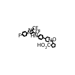 O=C(Nc1ccc(C2CCN(C(=O)C3CCCC3C(=O)O)CC2)cc1)c1cn(-c2ccc(F)cc2)nc1C(F)(F)F